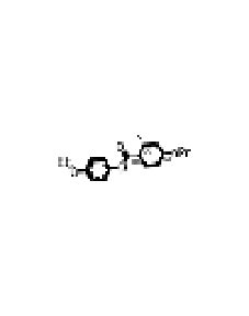 CCC[C@H]1CC[C@@H](C(=O)Oc2ccc(OCC)cc2)[C@H](C)C1